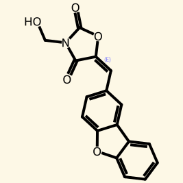 O=C1O/C(=C/c2ccc3oc4ccccc4c3c2)C(=O)N1CO